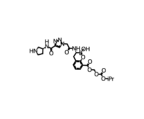 CC(C)OC(=O)OCOC(=O)c1cccc2c1OB(O)[C@@H](NC(=O)Cn1cc(C(=O)N[C@H]3CCNC3)nn1)C2